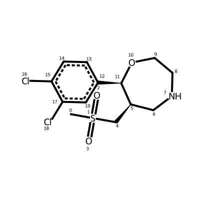 CS(=O)(=O)C[C@@H]1CNCCO[C@@H]1c1ccc(Cl)c(Cl)c1